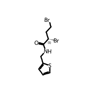 O=C(NCc1cccs1)[C@@H](Br)CCBr